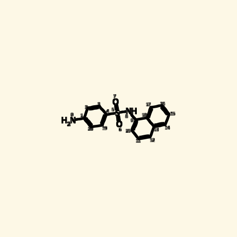 Nc1ccc(S(=O)(=O)Nc2cccc3ccccc23)cc1